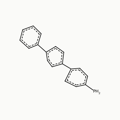 Pc1ccc(-c2ccc(-c3ccccc3)cc2)cc1